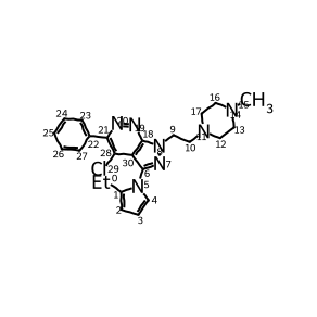 CCc1cccn1-c1nn(CCN2CCN(C)CC2)c2nnc(-c3ccccc3)c(Cl)c12